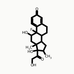 CC1CC2C3CCC4=CC(=O)C=C=C4C3(F)C(O)CC2(C)C1(O)C(=O)CO